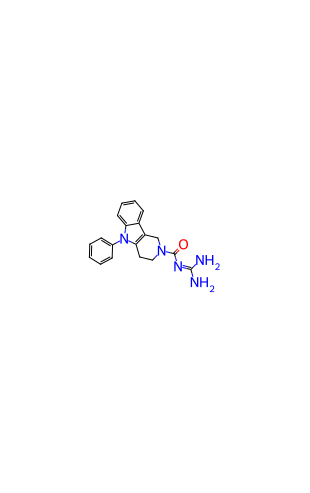 NC(N)=NC(=O)N1CCc2c(c3ccccc3n2-c2ccccc2)C1